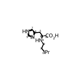 CC(C)CCN[C@@H](Cc1c[nH]cn1)C(=O)O